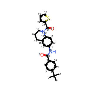 CC(C)(C)c1ccc(C(=O)Nc2ccc3c(c2)CCCN3C(=O)c2cccs2)cc1